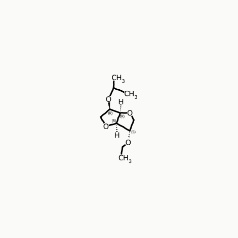 CCO[C@H]1CO[C@H]2[C@@H]1OC[C@H]2OC(C)C